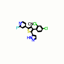 N#Cc1c(-c2ccnc(F)c2)sc(-c2ccn[nH]2)c1-c1ccc(Cl)cc1Cl